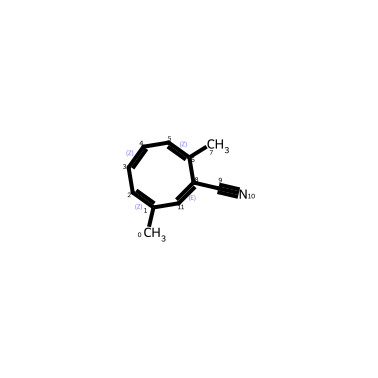 CC1=C/C=C\C=C(C)/C(C#N)=C\1